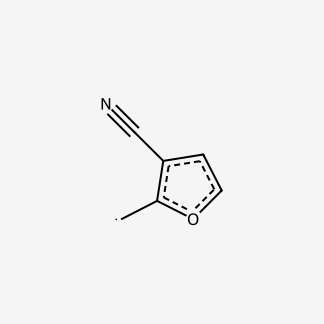 [CH2]c1occc1C#N